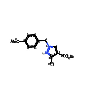 CCOC(=O)c1cn(Cc2ccc(OC)cc2)nc1CC